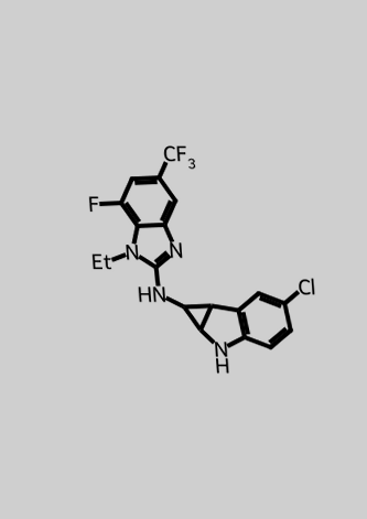 CCn1c(NC2C3Nc4ccc(Cl)cc4C32)nc2cc(C(F)(F)F)cc(F)c21